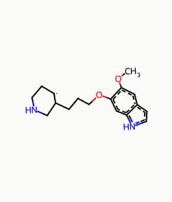 COc1cc2cc[nH]c2cc1OCCCC1[CH]CCNC1